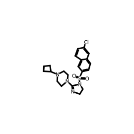 O=S(=O)(c1ccc2cc(Cl)ccc2c1)N1CCN=C1N1CCN(C2CCC2)CC1